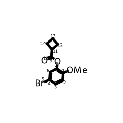 COc1ccc(Br)cc1OC(=O)C1CCC1